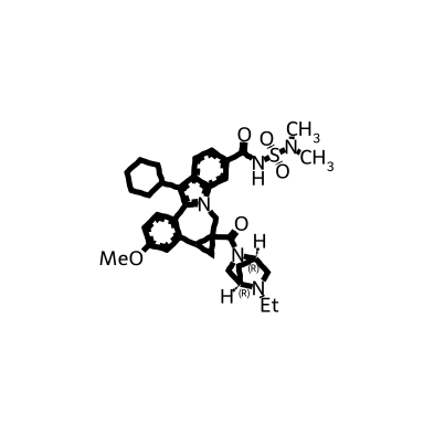 CCN1C[C@H]2C[C@@H]1CN2C(=O)C12CC1c1cc(OC)ccc1-c1c(C3CCCCC3)c3ccc(C(=O)NS(=O)(=O)N(C)C)cc3n1C2